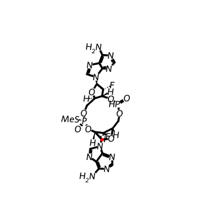 CS[P@]1(=O)OC[C@H]2O[C@@H](n3cnc4c(N)ncnc43)[C@H](F)[C@@H]2O[PH](=O)OC[C@H]2O[C@@H](n3cnc4c(N)ncnc43)[C@H](O1)[C@@H]2F